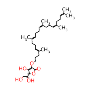 CC(C)=CCCC(C)=CCCC(C)=CCCC=C(C)CCC=C(C)CCCOC1=C(O)[C@@H]([C@@H](O)CO)OC1=O